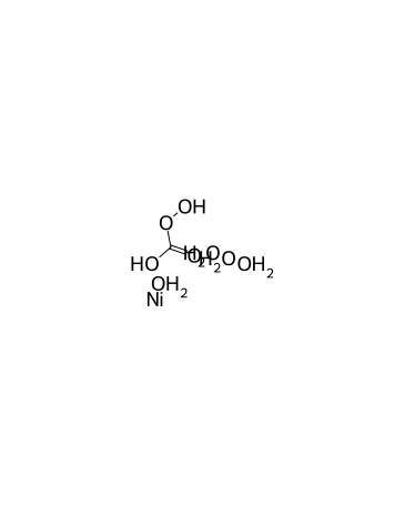 O.O.O.O.O=C(O)OO.[Ni]